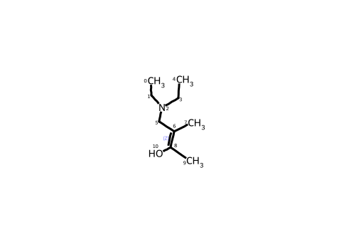 CCN(CC)C/C(C)=C(/C)O